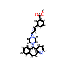 COC(=O)c1cccc(/C=C/CN2CCN(C3c4ccccc4CCc4ncccc43)CC2)c1